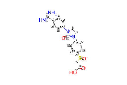 N=C(N)c1ccc(N2CCN(c3ccc([S+]([O-])CC(=O)O)cc3)C2=O)cc1